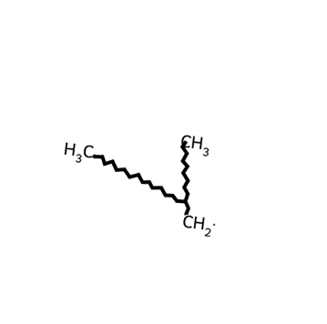 [CH2]CCC(CCCCCCCCC)CCCCCCCCCCCCCCCC